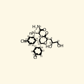 CCC[C@@H](C(N)=O)N1C(=O)[C@@H](C[C@H](O)CO)O[C@H](c2ccc(Cl)cc2)[C@@H]1c1ccc(Cl)cc1